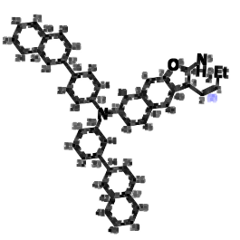 CC/C=C\c1c(N)oc2cc3cc(N(c4ccc(-c5ccc6ccccc6c5)cc4)c4cccc(-c5ccc6ccccc6c5)c4)ccc3cc12